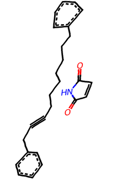 C(#CCc1ccccc1)CCCCCCCc1ccccc1.O=C1C=CC(=O)N1